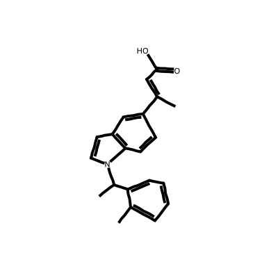 CC(=CC(=O)O)c1ccc2c(ccn2C(C)c2ccccc2C)c1